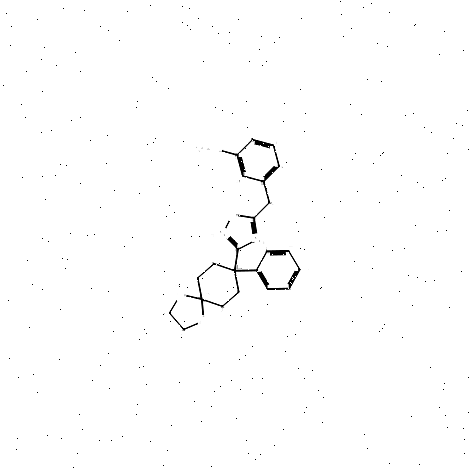 COc1cccc(Cc2nc(C3(c4ccccc4)CCC4(CC3)OCCO4)no2)c1